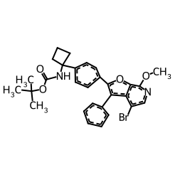 COc1ncc(Br)c2c(-c3ccccc3)c(-c3ccc(C4(NC(=O)OC(C)(C)C)CCC4)cc3)oc12